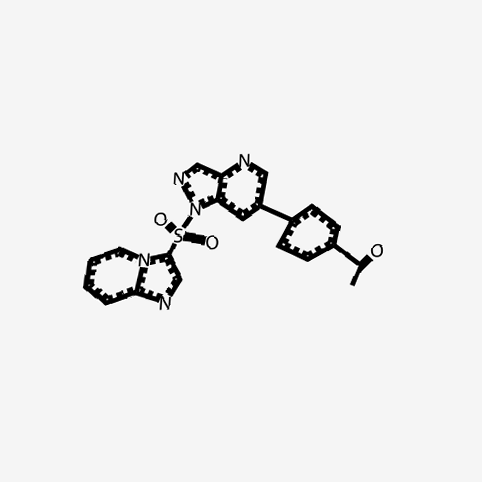 CC(=O)c1ccc(-c2cnc3cnn(S(=O)(=O)c4cnc5ccccn45)c3c2)cc1